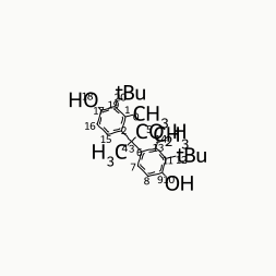 Cc1c(C(C)(C(=O)O)c2ccc(O)c(C(C)(C)C)c2C)ccc(O)c1C(C)(C)C